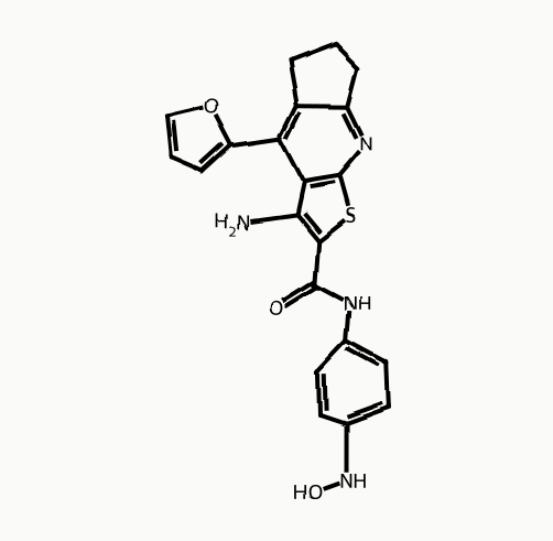 Nc1c(C(=O)Nc2ccc(NO)cc2)sc2nc3c(c(-c4ccco4)c12)CCC3